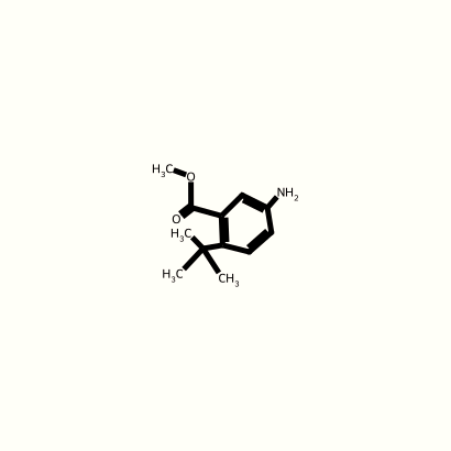 COC(=O)c1cc(N)ccc1C(C)(C)C